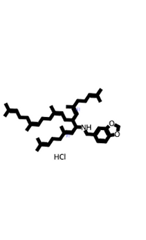 CC(C)=CCCC(C)=CCCC(C)=CCC(/C=C(\C)CCC=C(C)C)C(/C=C(\C)CCC=C(C)C)NCc1ccc2c(c1)OCO2.Cl